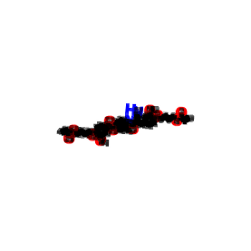 C=CC(=O)OCCCCOc1ccc(/C=C(\C#N)C(=O)Nc2ccc(OC(=O)c3ccc(OCCCCOC(=O)C=C)c(OC)c3)cc2C)cc1OC